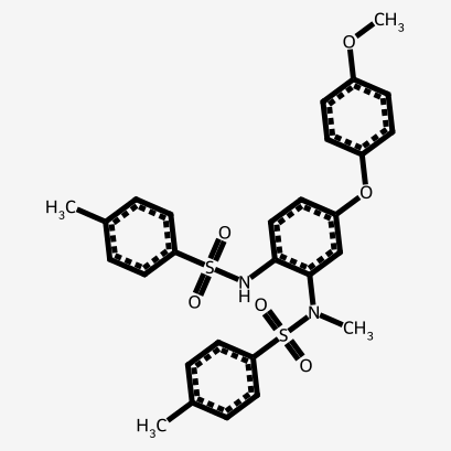 COc1ccc(Oc2ccc(NS(=O)(=O)c3ccc(C)cc3)c(N(C)S(=O)(=O)c3ccc(C)cc3)c2)cc1